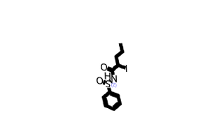 CCCC(I)C(=O)/N=[SH](=O)/c1ccccc1